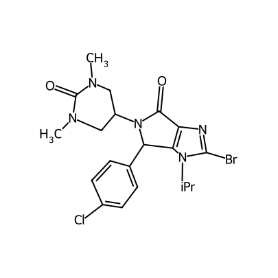 CC(C)n1c(Br)nc2c1C(c1ccc(Cl)cc1)N(C1CN(C)C(=O)N(C)C1)C2=O